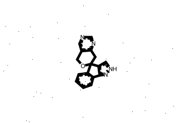 c1ccc2c(c1)-c1n[nH]cc1C21Cc2ncncc2CO1